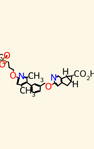 Cc1cc(OCCCS(C)(=O)=O)nc(C)c1-c1cccc(COc2cc3c(cn2)[C@H]2[C@@H](C3)[C@@H]2C(=O)O)c1